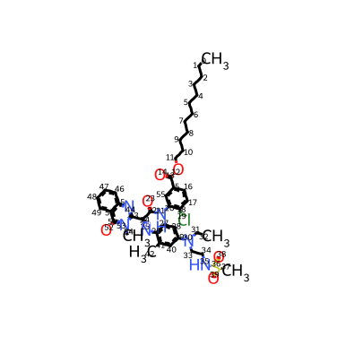 CCCCCCCCCCCCOC(=O)c1ccc(Cl)c(NC(=O)/C(=N\c2ccc(N(CC)CCNS(C)(=O)=O)cc2C)c2nc3ccccc3c(=O)n2C)c1